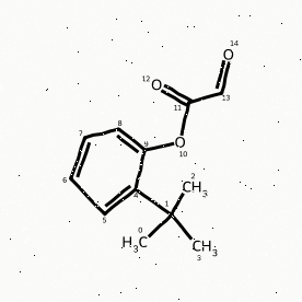 CC(C)(C)c1ccccc1OC(=O)C=O